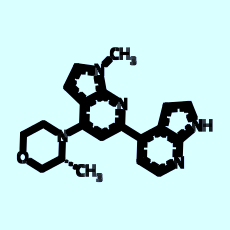 C[C@@H]1COCCN1c1cc(-c2ccnc3[nH]ccc23)nc2c1ccn2C